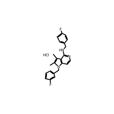 Cc1c(C)n(Cc2cccc(F)c2)c2ccnc(NCc3ccc(F)cc3)c12.Cl